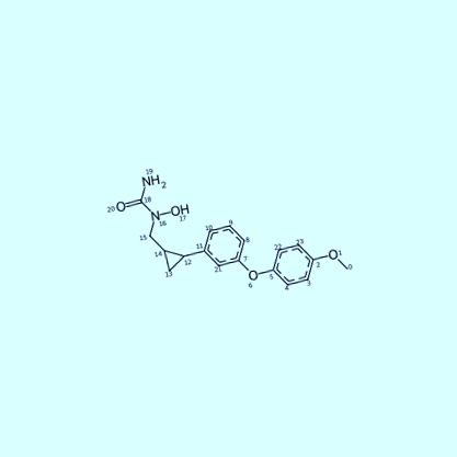 COc1ccc(Oc2cccc(C3CC3CN(O)C(N)=O)c2)cc1